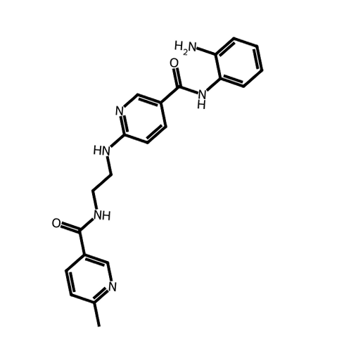 Cc1ccc(C(=O)NCCNc2ccc(C(=O)Nc3ccccc3N)cn2)cn1